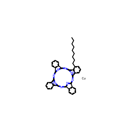 CCCCCCCCCc1cccc2c3nc4nc(nc5[nH]c(nc6nc(nc([nH]3)c12)-c1ccccc1-6)c1ccccc51)-c1ccccc1-4.[Cu]